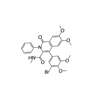 CNC(=O)c1c(-c2cc(Br)c(OC)c(OC)c2)c2cc(OC)c(OC)cc2c(=O)n1-c1ccccc1